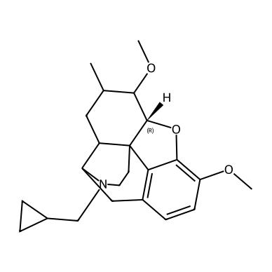 COc1ccc2c3c1O[C@H]1C(OC)C(C)CC4C(C2)N(CC2CC2)CCC341